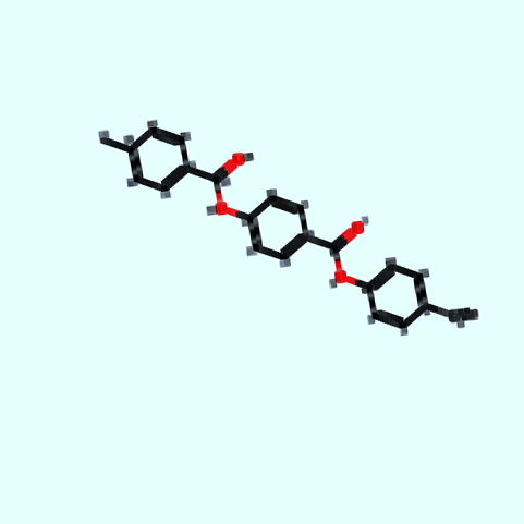 COc1ccc(OC(=O)c2ccc(OC(=O)c3ccc(C)cc3)cc2)cc1